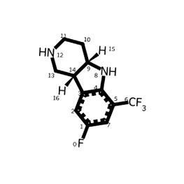 Fc1cc2c(c(C(F)(F)F)c1)N[C@H]1CCNC[C@@H]21